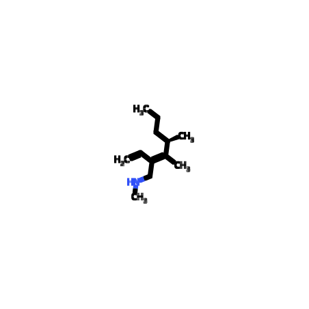 C=C/C(CNC)=C(/C)[C@H](C)CCC